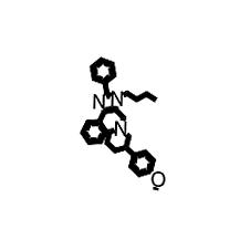 CCCCn1c(-c2ccccc2)nc(-c2ccccc2)c1CN1CCCC(c2ccc(OC)cc2)C1